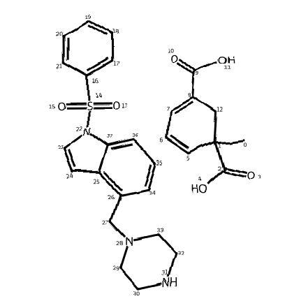 CC1(C(=O)O)C=CC=C(C(=O)O)C1.O=S(=O)(c1ccccc1)n1ccc2c(CN3CCNCC3)cccc21